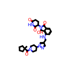 CC1(C(=O)N2CCC(n3cc(CNc4cccc5c4C(O)N(C4CCC(=O)NC4=O)C5=O)cn3)CC2)CCCC1